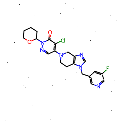 O=c1c(Cl)c(N2CCc3c(ncn3Cc3cncc(F)c3)C2)cnn1C1CCCCO1